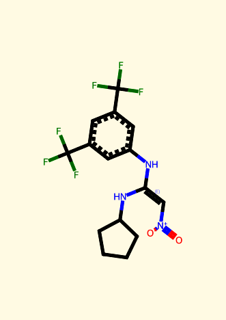 O=[N+]([O-])/C=C(/Nc1cc(C(F)(F)F)cc(C(F)(F)F)c1)NC1CCCC1